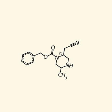 CC1CN(C(=O)OCc2ccccc2)[C@@H](CC#N)CN1